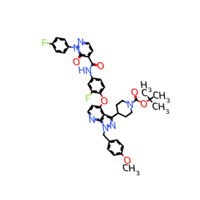 COc1ccc(Cn2nc(C3CCN(C(=O)OC(C)(C)C)CC3)c3c(Oc4ccc(NC(=O)c5ccnn(-c6ccc(F)cc6)c5=O)cc4F)ccnc32)cc1